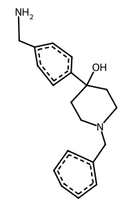 NCc1ccc(C2(O)CCN(Cc3ccccc3)CC2)cc1